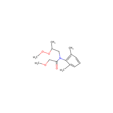 COCC(=O)N(CC(C)OOC)c1c(C)cccc1C